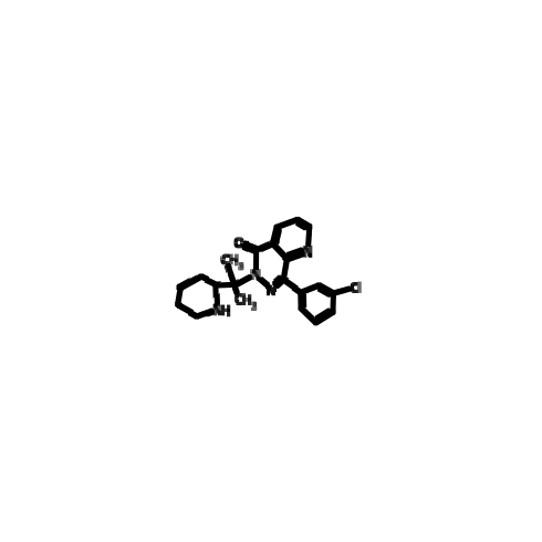 CC(C)(C1CCCCN1)n1nc(-c2cccc(Cl)c2)c2ncccc2c1=O